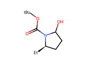 CC[C@@H]1CCC(O)N1C(=O)OC(C)(C)C